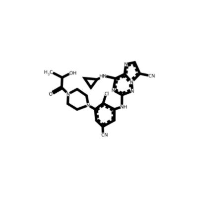 CC(O)C(=O)N1CCN(c2cc(C#N)cc(Nc3nc(NC4CC4)c4ncc(C#N)n4n3)c2Cl)CC1